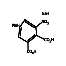 O=C(O)c1cccc([N+](=O)[O-])c1C(=O)O.[NaH].[NaH]